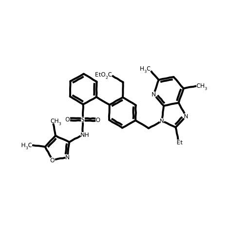 CCOC(=O)Cc1cc(Cn2c(CC)nc3c(C)cc(C)nc32)ccc1-c1ccccc1S(=O)(=O)Nc1noc(C)c1C